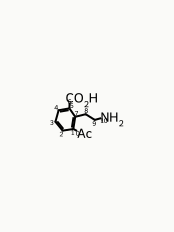 CC(=O)c1cccc(C(=O)O)c1CCN